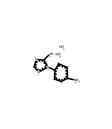 CCCc1ncnn1-c1ccc(N)cc1.Cl.Cl